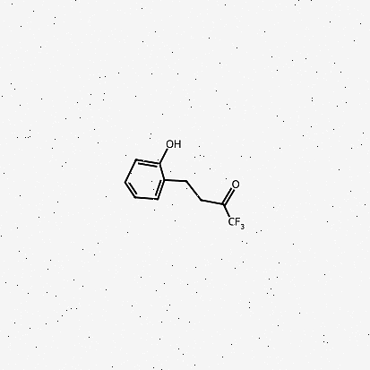 O=C(CCc1ccccc1O)C(F)(F)F